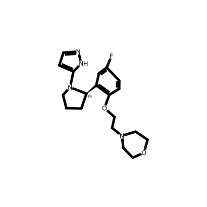 Fc1ccc(OCCN2CCOCC2)c([C@H]2CCCN2c2ccn[nH]2)c1